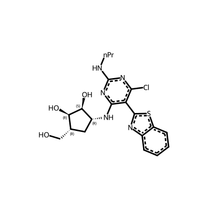 CCCNc1nc(Cl)c(-c2nc3ccccc3s2)c(N[C@@H]2C[C@H](CO)[C@@H](O)[C@H]2O)n1